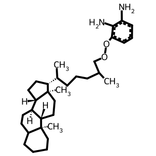 CC(CCCC(C)[C@H]1CC[C@H]2[C@@H]3CCC4CCCC[C@]4(C)[C@H]3CC[C@]12C)COOc1cccc(N)c1N